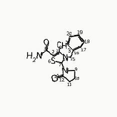 CC1=C(C(N)=O)SC(N2CCCC2=O)N1Cc1ccccc1